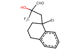 CCC1(CC(O)(C=O)C(F)(F)F)CCCc2ccccc21